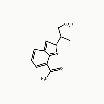 CC(CC(=O)O)n1cc2cccc(C(N)=O)c2n1